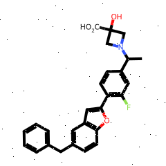 CC(c1ccc(-c2cc3cc(Cc4ccccc4)ccc3o2)c(F)c1)N1CC(O)(C(=O)O)C1